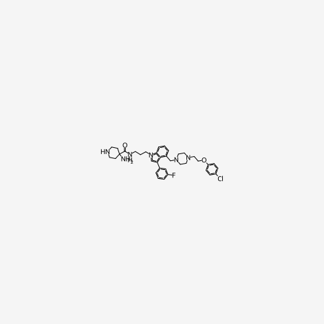 NC1(C(=O)NCCCn2cc(-c3cccc(F)c3)c3c(CN4CCN(CCOc5ccc(Cl)cc5)CC4)cccc32)CCNCC1